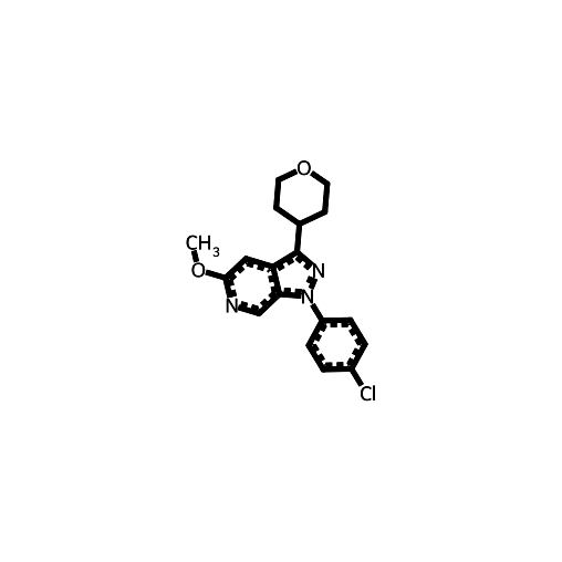 COc1cc2c(C3CCOCC3)nn(-c3ccc(Cl)cc3)c2cn1